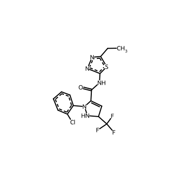 CCc1nnc(NC(=O)C2=CC(C(F)(F)F)NN2c2ccccc2Cl)s1